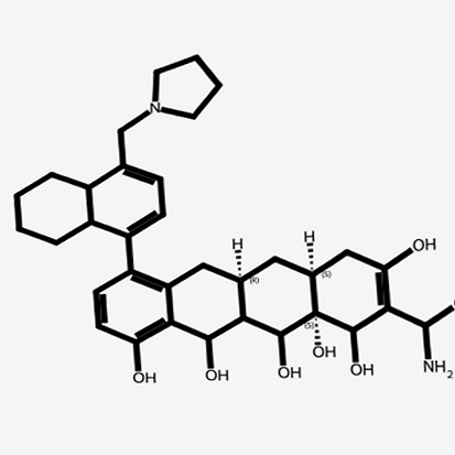 NC(O)C1=C(O)C[C@@H]2C[C@@H]3Cc4c(C5=CC=C(CN6CCCC6)C6CCCCC56)ccc(O)c4C(O)C3C(O)[C@]2(O)C1O